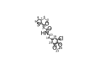 O=C(C[C@@H]1OCCc2ccsc21)NCCc1cc(Cl)c2c(c1)OCCO2